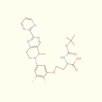 CC1c2cnc(-c3ncccn3)nc2CCN1c1cc(F)c(F)c(OCCC(NC(=O)OC(C)(C)C)C(=O)O)c1